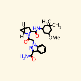 COC1CC(NC(=O)[C@@H]2C[C@H]3C[C@H]3N2C(=O)Cn2nc(C(N)=O)c3ccccc32)CC(C)(C)C1